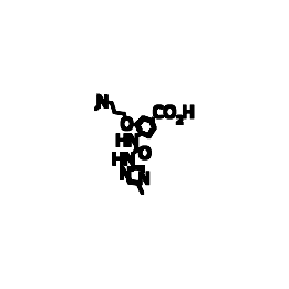 Cc1cnc(NC(=O)Nc2ccc(C(=O)O)cc2OCCCN(C)C)cn1